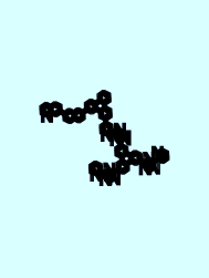 c1ccc(-c2ncnc(-c3ccc4c(c3)c3ccc(-c5ncnc(-c6cc(-c7ccc8c9ccccc9c9ccc(-c%10ccc%11ccc(-c%12ccc%13cccnc%13c%12)cc%11c%10)cc9c8c7)ccn6)n5)cc3c3ccc(-c5ncnc(-c6ccccn6)n5)cc43)n2)nc1